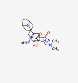 CCCCCCN(CCN1C2CCC1CC(c1cccc(C(N)=O)c1)C2)C(=O)[C@@H](O)CCN(C)C